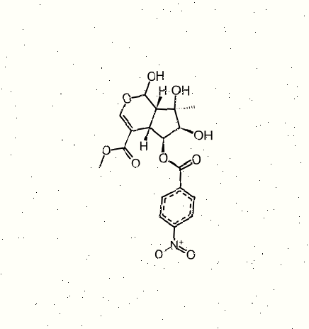 COC(=O)C1=COC(O)[C@H]2[C@@H]1[C@H](OC(=O)c1ccc([N+](=O)[O-])cc1)[C@H](O)[C@]2(C)O